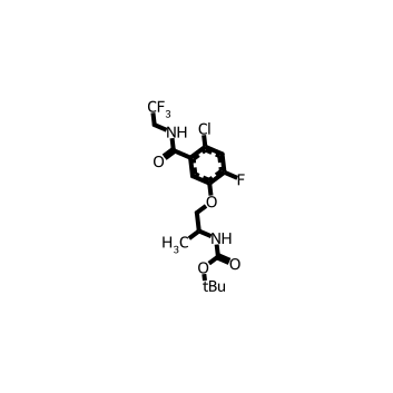 CC(COc1cc(C(=O)NCC(F)(F)F)c(Cl)cc1F)NC(=O)OC(C)(C)C